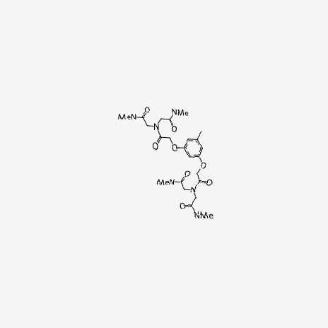 CNC(=O)CN(CC(=O)NC)C(=O)COc1cc(C)cc(OCC(=O)N(CC(=O)NC)CC(=O)NC)c1